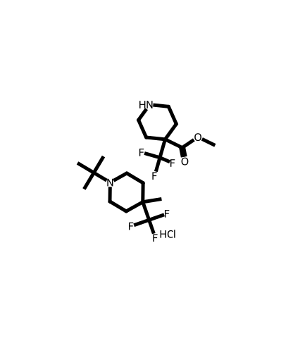 CC(C)(C)N1CCC(C)(C(F)(F)F)CC1.COC(=O)C1(C(F)(F)F)CCNCC1.Cl